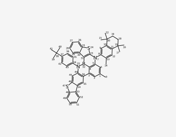 Cc1cc2c3c(c1)N(c1cc4c(cc1C)C(C)(C)CCC4(C)C)c1sc4ccccc4c1B3N(c1ccc(C(C)(C)C)cc1)c1cc3sc4ccccc4c3cc1-2